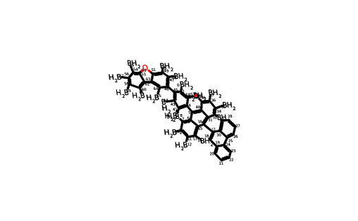 Bc1c(B)c(-c2c3c(B)c(B)c(B)c(B)c3c(-c3cc4ccccc4c4ccccc34)c3c(B)c(B)c(B)c(B)c23)c(B)c(B)c1-c1c(B)c(B)c2oc3c(B)c(B)c(B)c(B)c3c2c1B